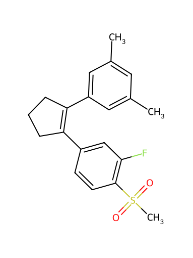 Cc1cc(C)cc(C2=C(c3ccc(S(C)(=O)=O)c(F)c3)CCC2)c1